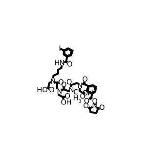 CN(CC(=O)N(CC(=O)O)CC(=O)N(CCCCNC(=O)c1cccc(I)c1)CC(=O)O)C(=O)CN(CC(=O)O)C(=O)c1cccc(C(=O)ON2C(=O)CCC2=O)c1